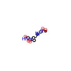 O=C1CCC(N2C(=O)c3cccc4c(Cc5cnn(C6CCN(C(=O)C78CC(CO7)C8)CC6)c5)ccc2c34)C(=O)N1